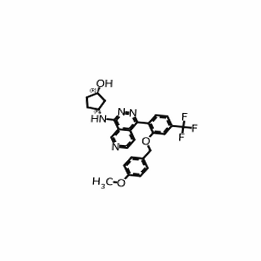 COc1ccc(COc2cc(C(F)(F)F)ccc2-c2nnc(N[C@@H]3CC[C@@H](O)C3)c3cnccc23)cc1